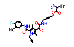 C#CCn1c(C)c(C(=O)C(=O)NCC#CCOC(=O)C(N)C(C)C)c(C)c1C(=O)Nc1ccc(F)c(C#N)c1